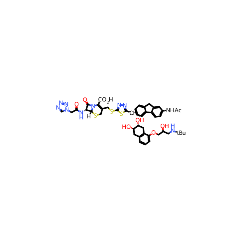 CC(=O)Nc1ccc2c(c1)Cc1ccccc1-2.CC(C)(C)NCC(O)COc1cccc2c1C[C@H](O)[C@H](O)C2.Cc1nnc(SCC2=C(C(=O)O)N3C(=O)[C@@H](NC(=O)Cn4cnnn4)[C@H]3SC2)s1